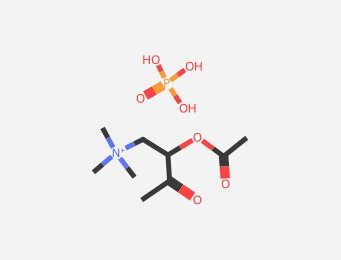 CC(=O)OC(C[N+](C)(C)C)C(C)=O.O=P(O)(O)O